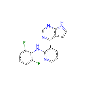 Fc1cccc(F)c1Nc1ncccc1-c1ncnc2[nH]ccc12